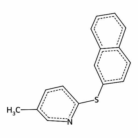 Cc1ccc(Sc2ccc3ccccc3c2)nc1